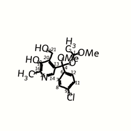 COC(C)OC(OC)(c1ccc(Cl)cc1)c1cnc(C)c(O)c1CO